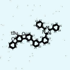 CC(C)(C)c1c2oc3ccccc3c2cc2c1oc1ccc(-c3cccc(-c4cccc(-c5nc(-c6ccccc6)nc(-c6ccccc6)n5)c4)c3)cc12